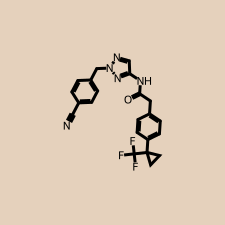 N#Cc1ccc(Cn2ncc(NC(=O)Cc3ccc(C4(C(F)(F)F)CC4)cc3)n2)cc1